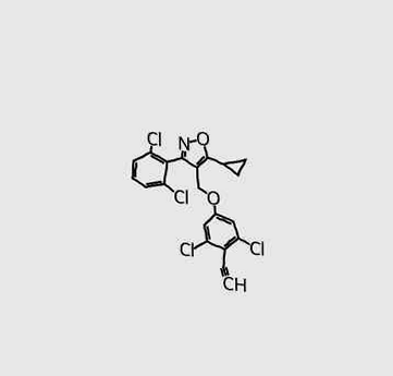 C#Cc1c(Cl)cc(OCc2c(-c3c(Cl)cccc3Cl)noc2C2CC2)cc1Cl